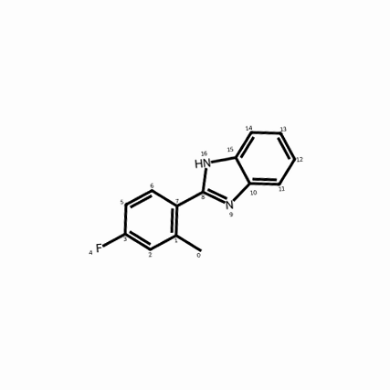 Cc1cc(F)ccc1-c1nc2ccccc2[nH]1